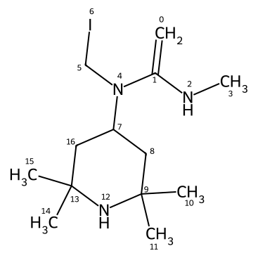 C=C(NC)N(CI)C1CC(C)(C)NC(C)(C)C1